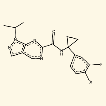 CC(C)n1ncc2cnc(C(=O)NC3(c4ccc(Br)c(F)c4)CC3)nc21